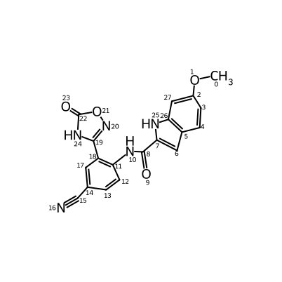 COc1ccc2cc(C(=O)Nc3ccc(C#N)cc3-c3noc(=O)[nH]3)[nH]c2c1